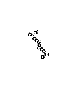 Cc1ccc(N(c2ccccc2)c2ccc3cc4c(cc3c2)oc2cc3c(cc24)oc2cc4cc(Nc5ccccc5)ccc4cc23)cc1